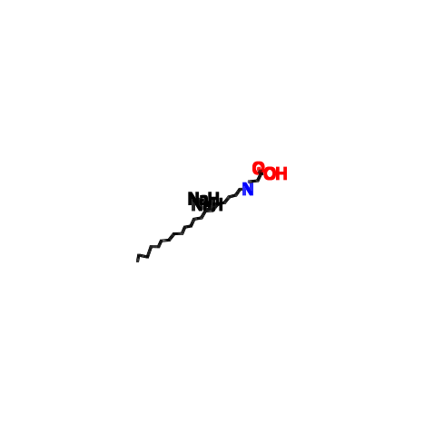 CCCCCCCCCCCCCCCCCCCCN=CCC(=O)O.[NaH].[NaH]